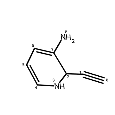 C#CC1NC=CC=C1N